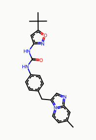 Cc1ccn2c(Cc3ccc(NC(=O)Nc4cc(C(C)(C)C)on4)cc3)cnc2c1